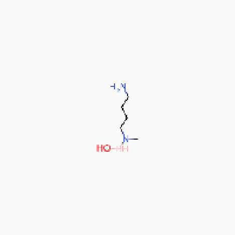 CN(BO)CCCCN